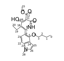 CCCCOc1c(-c2[nH]c(=O)c(C(=O)OC)c(O)c2CC)ccc2c1ccn2C